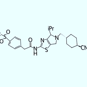 CCS(=O)(=O)c1ccc(CC(=O)Nc2nc3c(s2)CN(C[C@H]2CC[C@H](C#N)CC2)C3C(C)C)cc1